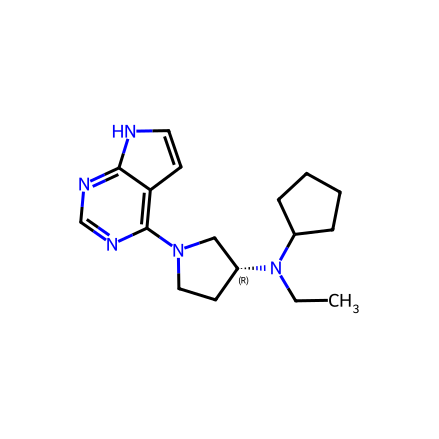 CCN(C1CCCC1)[C@@H]1CCN(c2ncnc3[nH]ccc23)C1